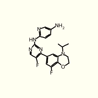 CC(C)N1CCOc2c(F)cc(-c3nc(Nc4ccc(N)cn4)ncc3F)cc21